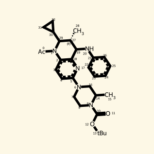 CC(=O)N1c2ccc(N3CCN(C(=O)OC(C)(C)C)C(C)C3)nc2C(Nc2ccccc2)[C@@H](C)C1C1CC1